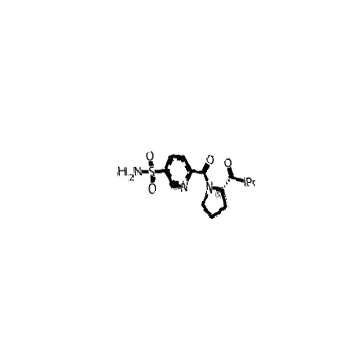 CC(C)C(=O)[C@@H]1CCCN1C(=O)c1ccc(S(N)(=O)=O)cn1